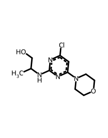 CC(CO)Nc1nc(Cl)cc(N2CCOCC2)n1